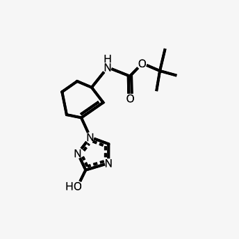 CC(C)(C)OC(=O)NC1C=C(n2cnc(O)n2)CCC1